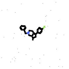 CC1CC(c2ccc(F)cc2)=C2CCN(Cc3ccccc3)CC21